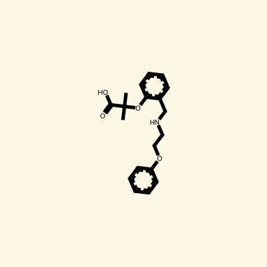 CC(C)(Oc1ccccc1CNCCOc1ccccc1)C(=O)O